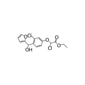 CCOC(=O)C(Cl)Oc1ccc(C(O)c2ccco2)c(Cl)c1